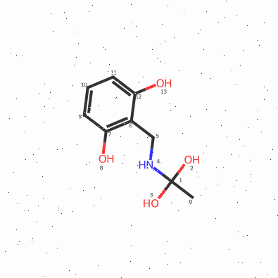 CC(O)(O)NCc1c(O)cccc1O